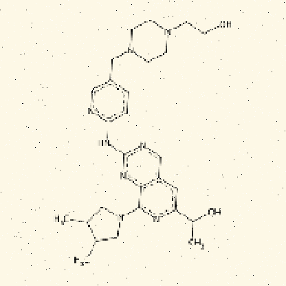 CC(O)c1cc2cnc(Nc3ccc(CN4CCN(CCO)CC4)cn3)nc2c(N2CC(C)C(C)C2)n1